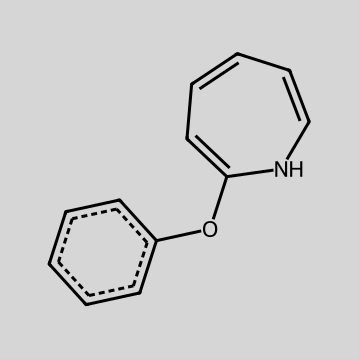 C1=CC=C(Oc2ccccc2)NC=C1